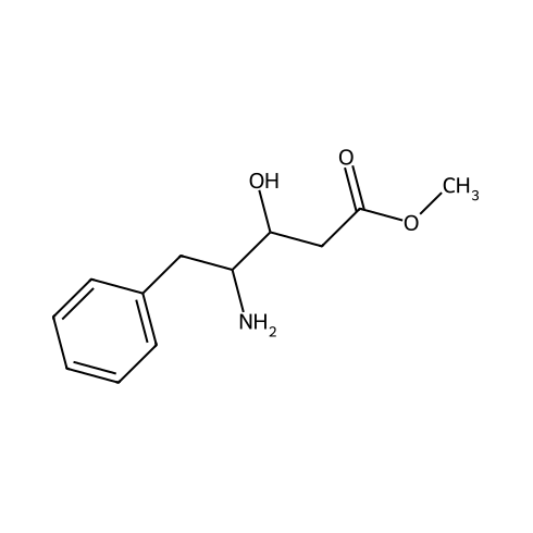 COC(=O)CC(O)C(N)Cc1ccccc1